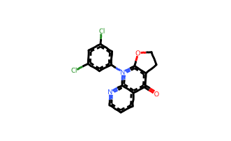 O=c1c2c(n(-c3cc(Cl)cc(Cl)c3)c3ncccc13)OCC2